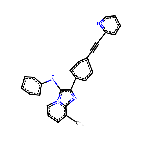 Cc1cccn2c(Nc3ccccc3)c(-c3ccc(C#Cc4ccccn4)cc3)nc12